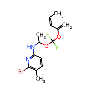 C=C(/C=C\C)OC(F)(F)OC(C)Nc1ccc(C)c(Br)n1